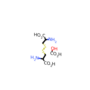 NC(CSSCC(N)C(=O)O)C(=O)O.O=C(O)O